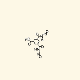 O=NCNC(=O)c1cc(C(=O)O)cc(C(=O)NCN=O)c1